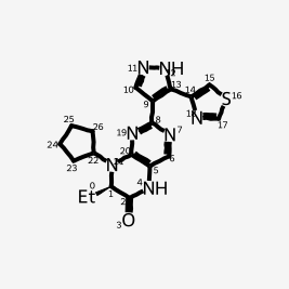 CC[C@@H]1C(=O)Nc2cnc(-c3cn[nH]c3-c3cscn3)nc2N1C1CCCC1